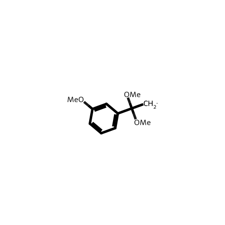 [CH2]C(OC)(OC)c1cccc(OC)c1